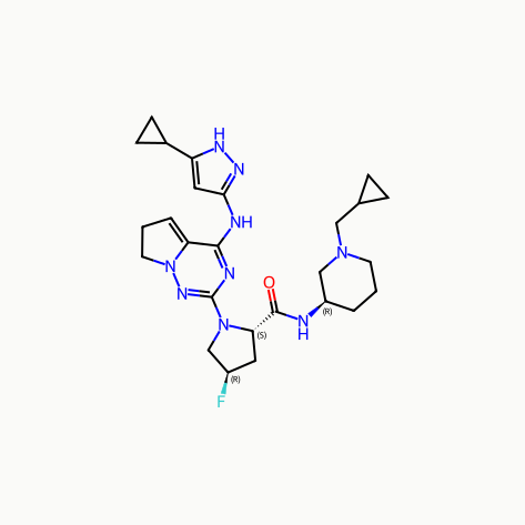 O=C(N[C@@H]1CCCN(CC2CC2)C1)[C@@H]1C[C@@H](F)CN1C1=NN2CCC=C2C(Nc2cc(C3CC3)[nH]n2)=N1